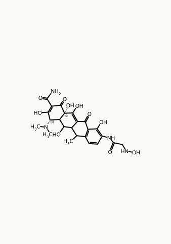 CC1c2ccc(NC(=O)CNO)c(O)c2C(=O)C2=C(O)[C@]3(O)C(=O)C(C(N)=O)=C(O)[C@@H](N(C)C)C3C(O)C21